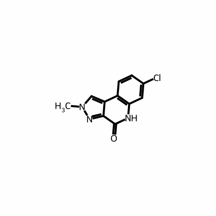 Cn1cc2c(n1)c(=O)[nH]c1cc(Cl)ccc12